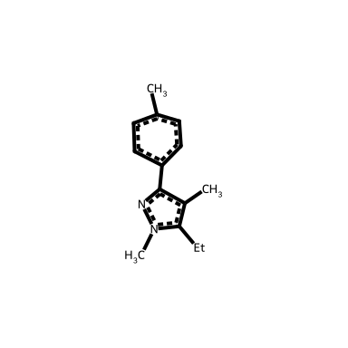 CCc1c(C)c(-c2ccc(C)cc2)nn1C